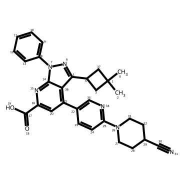 CC1(C)CC(c2nn(-c3ccccc3)c3nc(C(=O)O)cc(-c4ccc(N5CCC(C#N)CC5)nc4)c23)C1